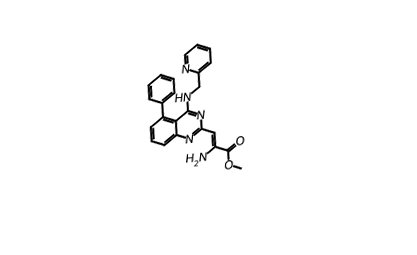 COC(=O)C(N)=Cc1nc(NCc2ccccn2)c2c(-c3ccccc3)cccc2n1